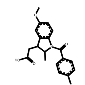 COc1ccc2c(c1)C(CC(=O)O)C(C)N2C(=O)c1ccc(C)cc1